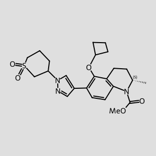 COC(=O)N1c2ccc(-c3cnn(C4CCCS(=O)(=O)C4)c3)c(OC3CCC3)c2CC[C@@H]1C